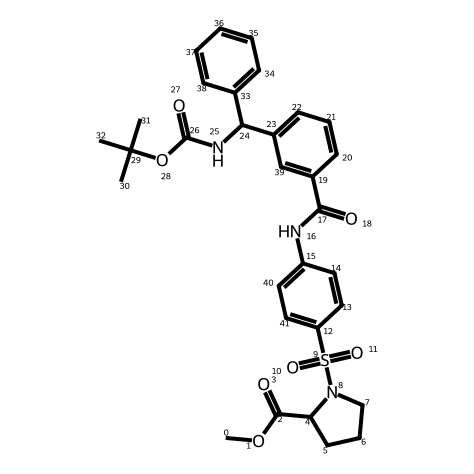 COC(=O)C1CCCN1S(=O)(=O)c1ccc(NC(=O)c2cccc(C(NC(=O)OC(C)(C)C)c3ccccc3)c2)cc1